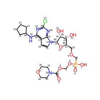 O=C(OCOP(=O)(O)COC[C@H]1O[C@@H](n2ccc3c(NC4CCCC4)nc(Cl)nc32)[C@H](O)[C@@H]1O)N1CCOCC1